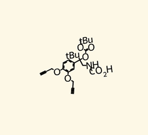 C#CCOc1ccc(C(CNC(=O)O)(OC(=O)OC(C)(C)C)C(C)(C)C)cc1OCC#C